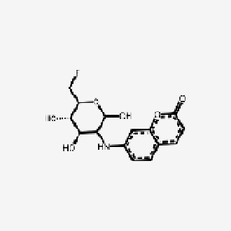 O=c1ccc2ccc(NC3C(O)OC(CF)[C@@H](O)[C@@H]3O)cc2o1